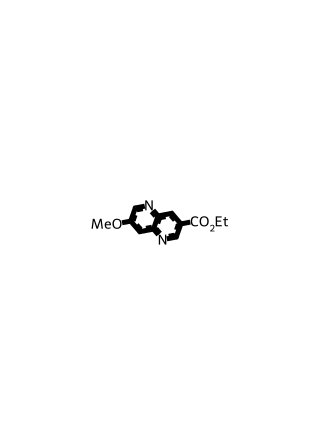 CCOC(=O)c1cnc2cc(OC)cnc2c1